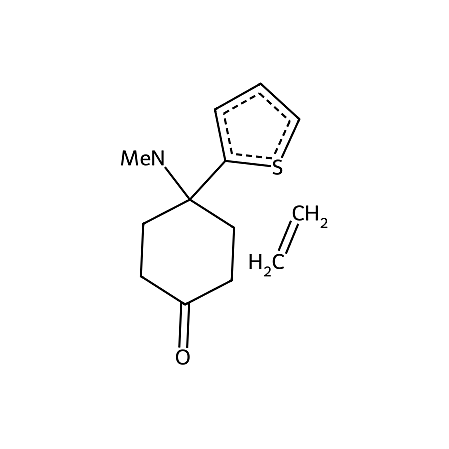 C=C.CNC1(c2cccs2)CCC(=O)CC1